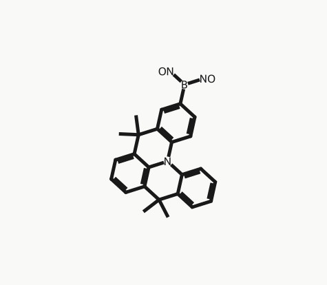 CC1(C)c2ccccc2N2c3ccc(B(N=O)N=O)cc3C(C)(C)c3cccc1c32